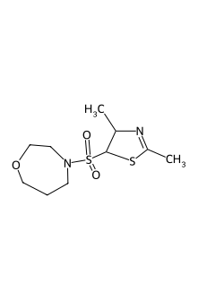 CC1=NC(C)C(S(=O)(=O)N2CCCOCC2)S1